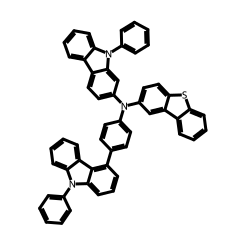 c1ccc(-n2c3ccccc3c3ccc(N(c4ccc(-c5cccc6c5c5ccccc5n6-c5ccccc5)cc4)c4ccc5sc6ccccc6c5c4)cc32)cc1